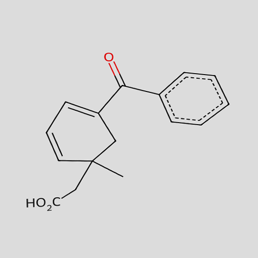 CC1(CC(=O)O)C=CC=C(C(=O)c2ccccc2)C1